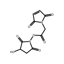 O=C(CN1C(=O)C=CC1=O)ON1C(=O)CC(O)C1=O